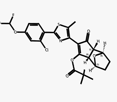 Cc1sc(-c2ccc(OC(F)F)cc2Cl)nc1C1=C(OC(=O)C(C)(C)C)[C@@H]2[C@H](C1=O)[C@H]1CC[C@@H]2O1